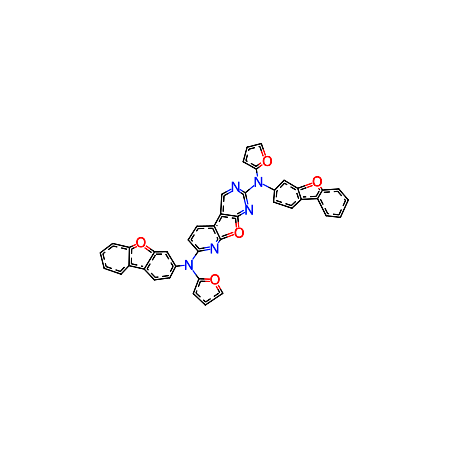 c1coc(N(c2ccc3c(c2)oc2ccccc23)c2ccc3c(n2)oc2nc(N(c4ccc5c(c4)oc4ccccc45)c4ccco4)ncc23)c1